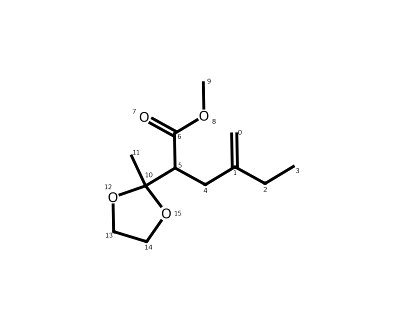 C=C(CC)CC(C(=O)OC)C1(C)OCCO1